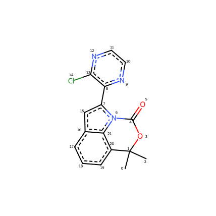 CC1(C)OC(=O)n2c(-c3nccnc3Cl)cc3cccc1c32